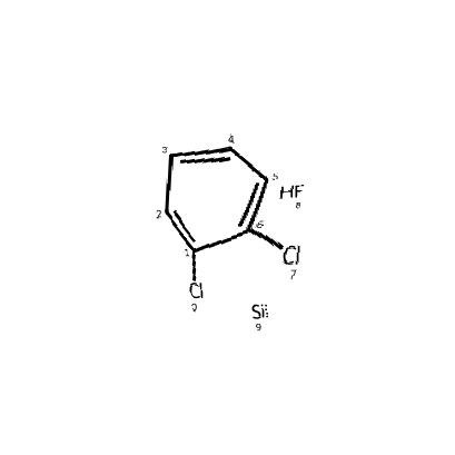 Clc1ccccc1Cl.F.[Si]